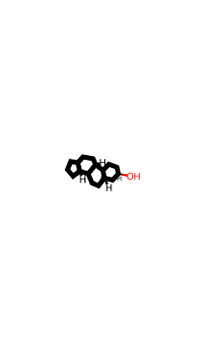 O[C@@H]1CCC2[C@@H](CCC3[C@@H]4CCCC4CC[C@H]23)C1